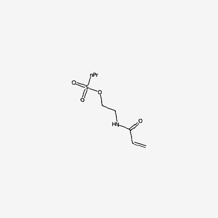 C=CC(=O)NCCOS(=O)(=O)CCC